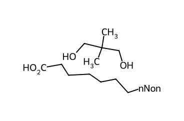 CC(C)(CO)CO.CCCCCCCCCCCCCCCC(=O)O